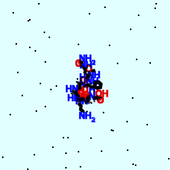 CC(=O)N[C@@H](CCCNC(N)=O)C(=O)N[C@@H](Cc1ccccc1)C(=O)N[C@@H](C)C(=O)N[C@@H](C)C(=O)N[C@@H](CCCCN)C(=O)N[C@@H](C)C(=O)N[C@@H](C)C(=O)O